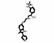 Cc1c(-c2ccncc2)[nH]c2cc(OCCNC[C@H](O)c3cccc(NS(C)(=O)=O)c3)ccc12